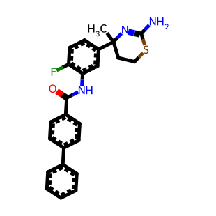 CC1(c2ccc(F)c(NC(=O)c3ccc(-c4ccccc4)cc3)c2)CCSC(N)=N1